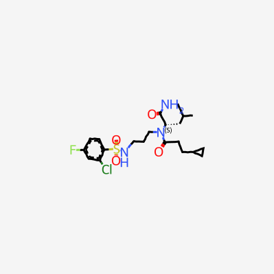 CC(C)C[C@@H](C(N)=O)N(CCCNS(=O)(=O)c1ccc(F)cc1Cl)C(=O)CCC1CC1